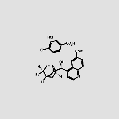 CC[C@H]1C[N@]2CC[C@H]1C[C@@H]2[C@@H](O)c1ccnc2ccc(OC)cc12.Cl.O=C(O)c1ccc(Cl)cc1